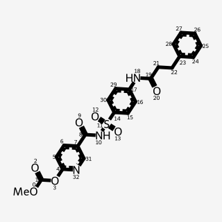 COC(=O)Oc1ccc(C(=O)NS(=O)(=O)c2ccc(NC(=O)CCc3ccccc3)cc2)cn1